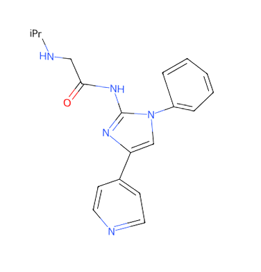 CC(C)NCC(=O)Nc1nc(-c2ccncc2)cn1-c1ccccc1